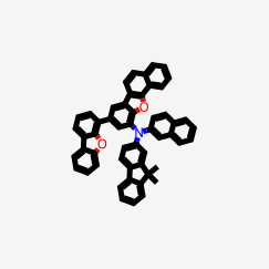 CC1(C)c2ccccc2-c2ccc(N(c3ccc4ccccc4c3)c3cc(-c4cccc5c4oc4ccccc45)cc4c3oc3c5ccccc5ccc43)cc21